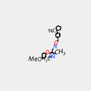 COc1ccc(Oc2c(C=NOCc3ccc(C4(C#N)CCCC4)cc3)c(C)nn2C)cc1